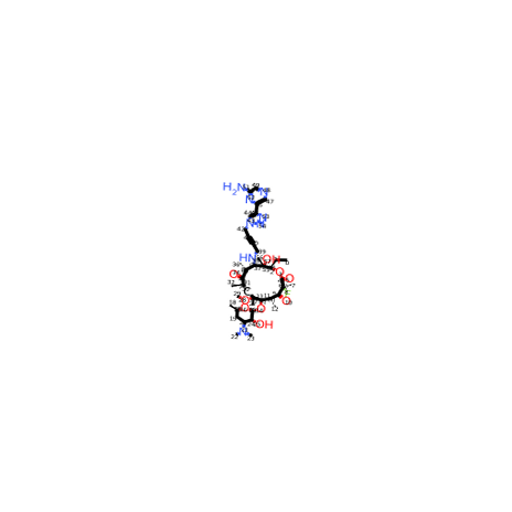 CC[C@H]1OC(=O)[C@@](C)(F)C(=O)[C@H](C)[C@@H](O[C@@H]2O[C@H](C)CC(N(C)C)C2O)[C@](C)(OC)C[C@@H](C)C(=O)[C@H](C)[C@@H](NCC#CCn2cc(-c3cncc(N)n3)nn2)[C@]1(C)O